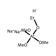 CC[O][Al-]([O]C)([O]C)[O]C.[H-].[Na+].[Na+]